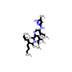 C\C=C/C=C(\C=C\CC)C(C)N(C)/C(C)=C(\C=C(\C)CC)/N=C\C(Nc1cc(C)[nH]n1)=C(/C)CC